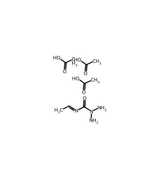 CC(=O)O.CC(=O)O.CC(=O)O.CC=NC(=O)N(N)N